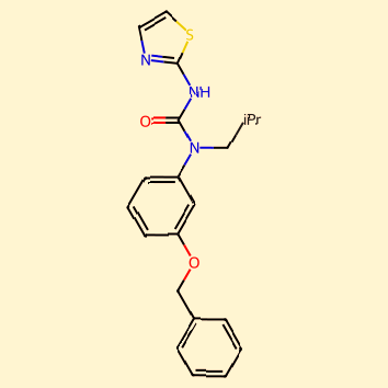 CC(C)CN(C(=O)Nc1nccs1)c1cccc(OCc2ccccc2)c1